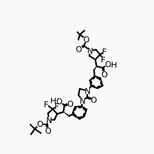 CC(C)(C)OC(=O)N1CC([C@H](Cc2cccc(N3CCN(c4cccc(C[C@H](C(=O)O)C5CN(C(=O)OC(C)(C)C)CC5(F)F)c4)C3=O)c2)C(=O)O)C(F)(F)C1